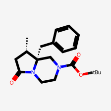 C[C@H]1CC(=O)N2CCN(C(=O)OC(C)(C)C)C[C@]12Cc1ccccc1